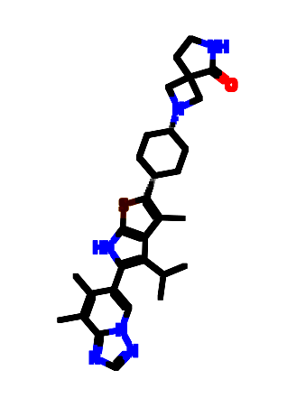 Cc1c(-c2[nH]c3sc([C@H]4CC[C@@H](N5CC6(CCNC6=O)C5)CC4)c(C)c3c2C(C)C)cn2ncnc2c1C